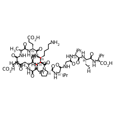 CC(C)C[C@H](NC(=O)[C@H](CC(N)=O)NC(=O)[C@@H](NC(=O)[C@H](CCCCN)NC(=O)[C@H](CCC(=O)O)NC(=O)[C@H](C)NC(=O)[C@@H](N)CC(=O)O)C(C)C)C(=O)N1CCC[C@H]1C(=O)N[C@H](C(=O)NCC(=O)N[C@H](C(=O)N[C@@H](CS)C(=O)N[C@H](C(=O)O)C(C)C)C(C)C)C(C)C